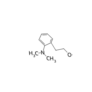 CN(C)c1ccccc1CC[O]